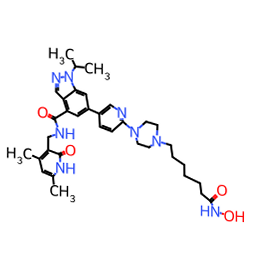 Cc1cc(C)c(CNC(=O)c2cc(-c3ccc(N4CCN(CCCCCCC(=O)NO)CC4)nc3)cc3c2cnn3C(C)C)c(=O)[nH]1